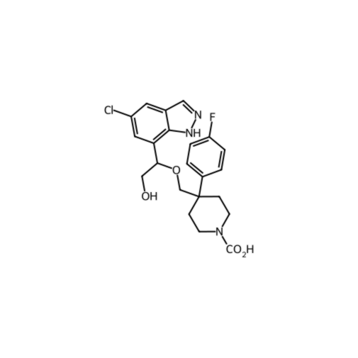 O=C(O)N1CCC(COC(CO)c2cc(Cl)cc3cn[nH]c23)(c2ccc(F)cc2)CC1